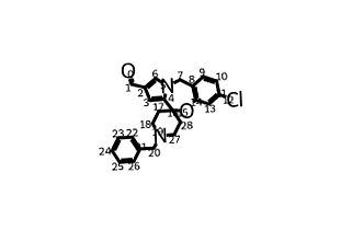 O=Cc1cc2n(c1)Cc1ccc(Cl)cc1OC21CCN(Cc2ccccc2)CC1